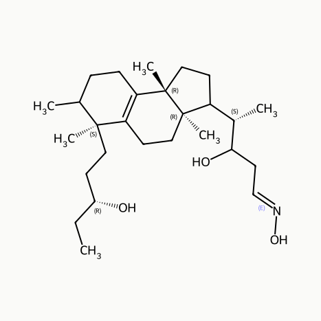 CC[C@@H](O)CC[C@]1(C)C2=C(CCC1C)[C@]1(C)CCC([C@H](C)C(O)C/C=N/O)[C@@]1(C)CC2